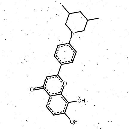 CC1CC(C)CN(c2ccc(-c3cc(=O)c4ccc(O)c(O)c4o3)cc2)C1